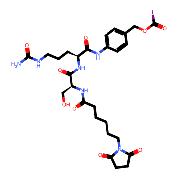 NC(=O)NCCC[C@H](NC(=O)[C@H](CO)NC(=O)CCCCCN1C(=O)CCC1=O)C(=O)Nc1ccc(COC(=O)I)cc1